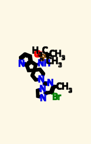 CC1=C(Br)C2=NCCN2C(N2CCC3(CC2)Cc2ncccc2[C@H]3N[S+]([O-])C(C)(C)C)=N1